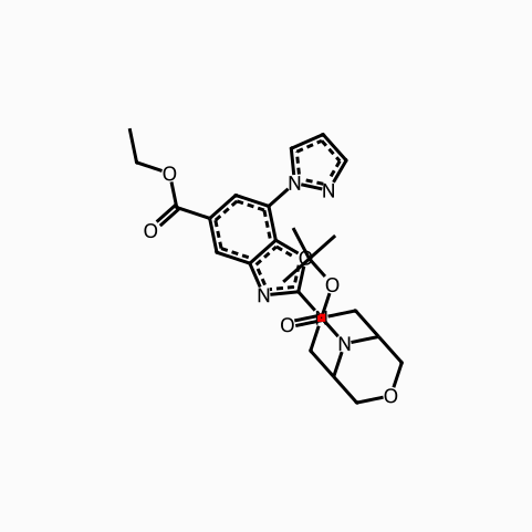 CCOC(=O)c1cc(-n2cccn2)c2oc(N3CC4COCC(C3)N4C(=O)OC(C)(C)C)nc2c1